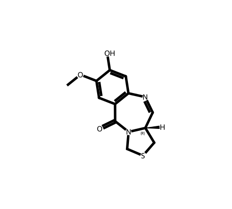 COc1cc2c(cc1O)N=C[C@@H]1CSCN1C2=O